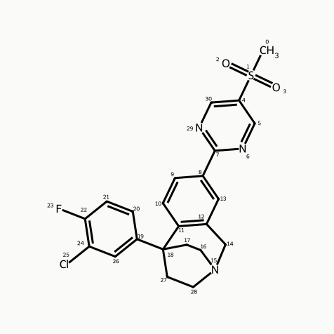 CS(=O)(=O)c1cnc(-c2ccc3c(c2)CN2CCC3(c3ccc(F)c(Cl)c3)CC2)nc1